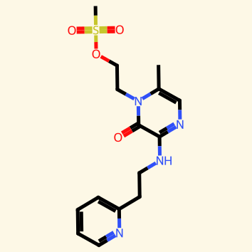 Cc1cnc(NCCc2ccccn2)c(=O)n1CCOS(C)(=O)=O